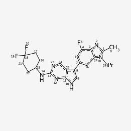 Cc1nc2c(F)cc(-c3c[nH]c4nc(NC5CCC(F)(F)CC5)ncc34)cc2n1C(C)C